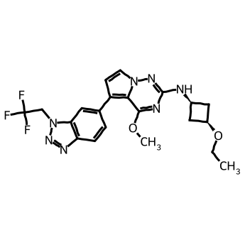 CCO[C@H]1C[C@@H](Nc2nc(OC)c3c(-c4ccc5nnn(CC(F)(F)F)c5c4)ccn3n2)C1